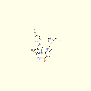 Cc1cc(-c2cc3ncc(C(N)=O)c(NC4CCN(c5ccc(C#N)nn5)CC4(C)C)n3n2)ccn1